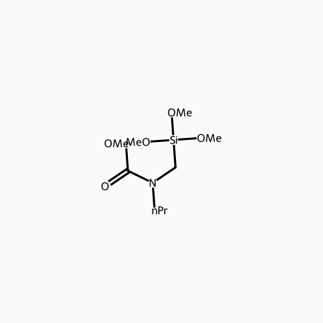 CCCN(C[Si](OC)(OC)OC)C(=O)OC